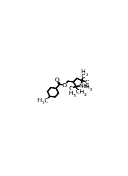 CC1CCC(C(=O)OCC2CC(C)(C)NC2(C)C)CC1